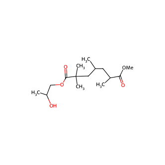 COC(=O)C(C)CC(C)CC(C)(C)C(=O)OCC(C)O